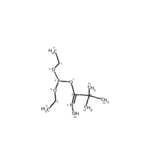 CCOP(OCC)OC(=NO)C(C)(C)C